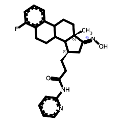 C[C@]12CCC3c4cccc(F)c4CCC3C1[C@H](CCC(=O)Nc1ccccn1)C/C2=N\O